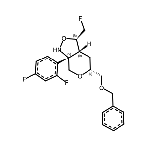 FC[C@@H]1ON[C@@]2(c3ccc(F)cc3F)CO[C@@H](COCc3ccccc3)C[C@@H]12